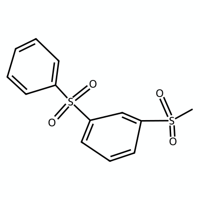 CS(=O)(=O)c1cccc(S(=O)(=O)c2ccccc2)c1